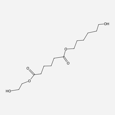 O=C(CCCCC(=O)OCCCCCCO)OCCO